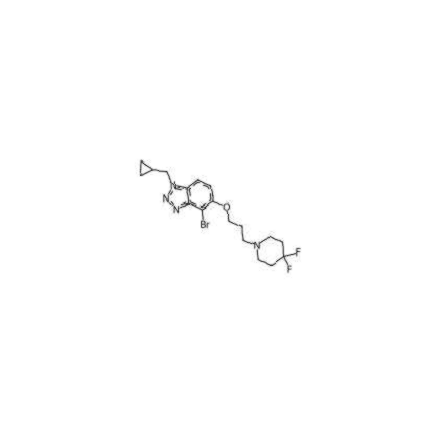 FC1(F)CCN(CCCOc2ccc3c(nnn3CC3CC3)c2Br)CC1